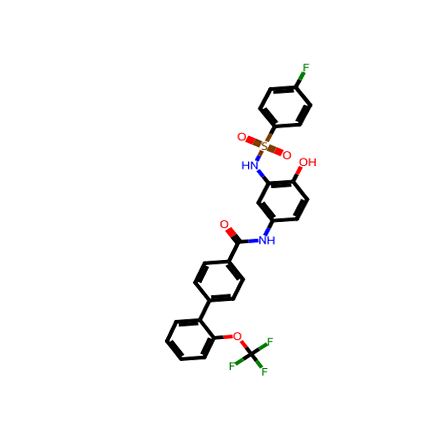 O=C(Nc1ccc(O)c(NS(=O)(=O)c2ccc(F)cc2)c1)c1ccc(-c2ccccc2OC(F)(F)F)cc1